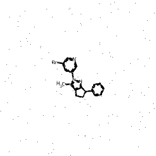 Cc1c2c(nn1-c1cncc(Br)c1)C(c1ccccc1)CC2